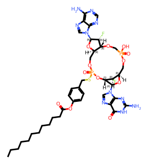 CCCCCCCCCCCC(=O)Oc1ccc(CSP2(=O)OC[C@H]3O[C@@H](n4cnc5c(N)ncnc54)[C@H](F)[C@@H]3OCP(=O)(O)OC[C@H]3O[C@@H](n4cnc5c(=O)[nH]c(N)nc54)[C@H](O2)[C@@H]3F)cc1